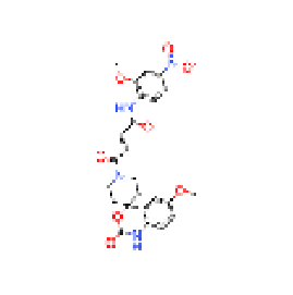 COc1ccc2c(c1)C1(CCN(C(=O)C=CC(=O)Nc3ccc([N+](=O)[O-])cc3OC)CC1)OC(=O)N2